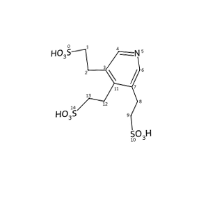 O=S(=O)(O)CCc1cncc(CCS(=O)(=O)O)c1CCS(=O)(=O)O